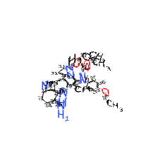 CCOc1ccc(N(C(=O)OC(C)(C)C)c2c(C)c(N[C@H]3CCCC[C@@H]3N)c(C#N)c3ccnn23)cc1